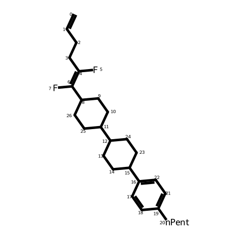 C=CCCC(F)=C(F)C1CCC(C2CCC(c3ccc(CCCCC)cc3)CC2)CC1